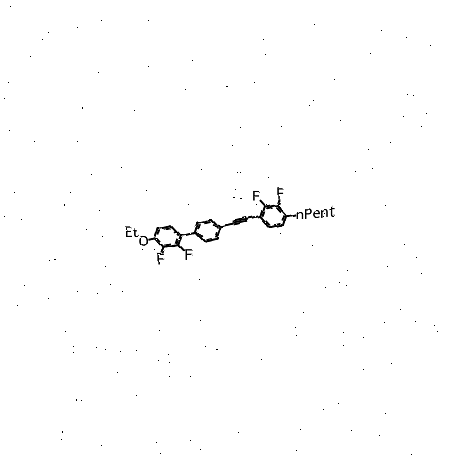 CCCCCc1ccc(C#Cc2ccc(-c3ccc(OCC)c(F)c3F)cc2)c(F)c1F